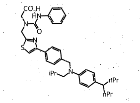 CCCC(CCC)c1ccc(N(Cc2ccc(-c3csc(CN(CC(=O)O)C(=O)Nc4ccccc4)n3)cc2)CC(C)C)cc1